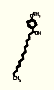 CCCC=CCCCCCCCCCC(O)c1ccc(OC)cc1